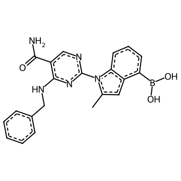 Cc1cc2c(B(O)O)cccc2n1-c1ncc(C(N)=O)c(NCc2ccccc2)n1